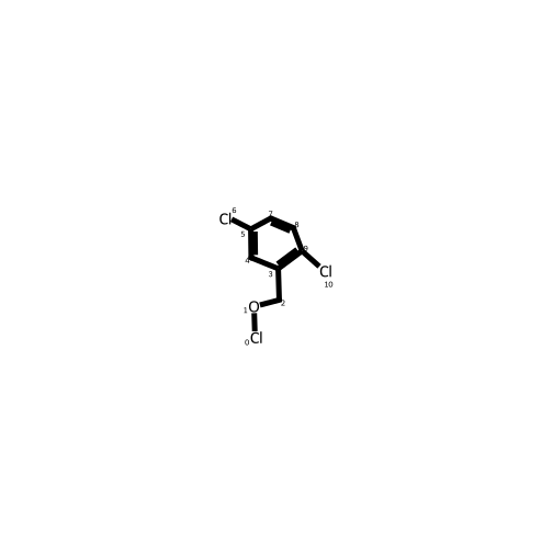 ClOCc1cc(Cl)ccc1Cl